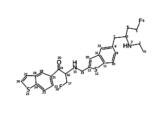 CCNC(CCF)Cc1ccc2sc(CNC(CF)C(=O)c3ccc4sccc4c3)cc2c1